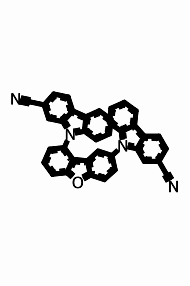 N#Cc1ccc2c3ccccc3n(-c3ccc4oc5cccc(-n6c7ccccc7c7ccc(C#N)cc76)c5c4c3)c2c1